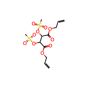 C=CCOC(=O)C(OS(C)(=O)=O)C(OS(C)(=O)=O)C(=O)OCC=C